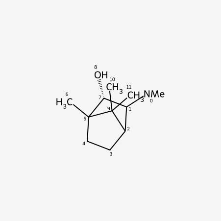 CNC1C2CCC(C)([C@@H]1O)C2(C)C